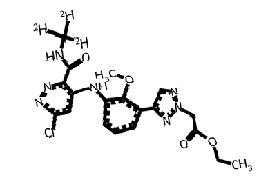 [2H]C([2H])([2H])NC(=O)c1nnc(Cl)cc1Nc1cccc(-c2cnn(CC(=O)OCC)n2)c1OC